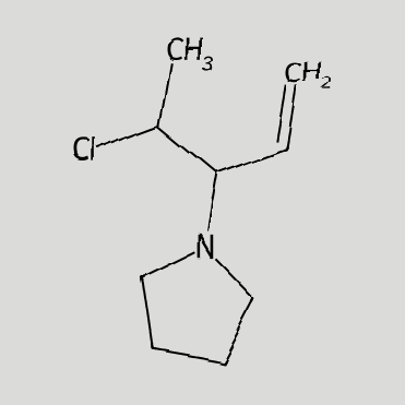 C=CC(C(C)Cl)N1CCCC1